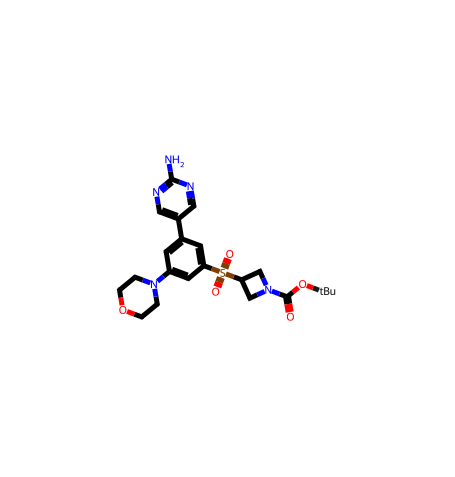 CC(C)(C)OC(=O)N1CC(S(=O)(=O)c2cc(-c3cnc(N)nc3)cc(N3CCOCC3)c2)C1